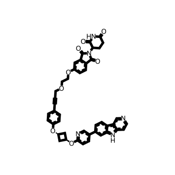 O=C1CCC(N2C(=O)c3ccc(OCCOCC#Cc4ccc(O[C@H]5C[C@H](Oc6ccc(-c7ccc8c(c7)[nH]c7ccncc78)cn6)C5)cc4)cc3C2=O)C(=O)N1